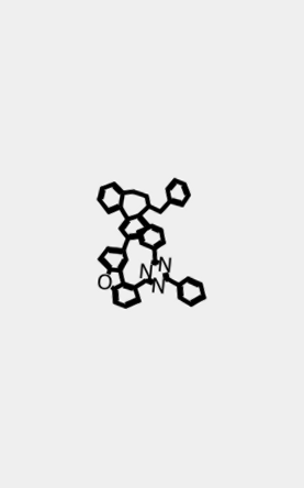 c1ccc(CC2CCc3ccccc3-c3cc(-c4ccc5oc6cccc(-c7nc(-c8ccccc8)nc(-c8ccccc8)n7)c6c5c4)ccc32)cc1